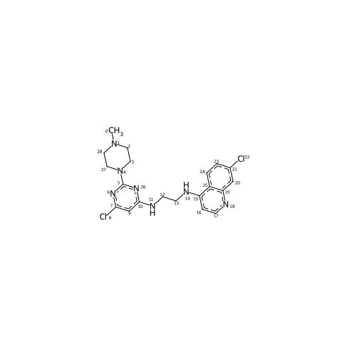 CN1CCN(c2nc(Cl)cc(NCCNc3ccnc4cc(Cl)ccc34)n2)CC1